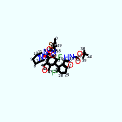 CCSc1nc(N2C3CCC2CN(C(=O)OC(C)(C)C)C3)c2c3c(c(-c4c(F)ccc5oc(NC(=O)OC(C)(C)C)cc45)c(F)c2n1)COC3